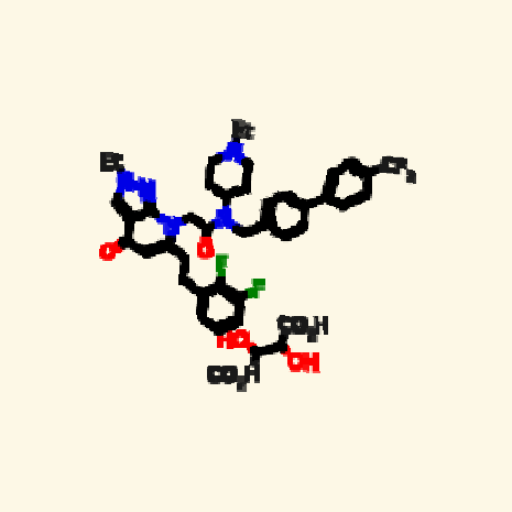 CCN1CCC(N(Cc2ccc(-c3ccc(C(F)(F)F)cc3)cc2)C(=O)Cn2c(CCc3cccc(F)c3F)cc(=O)c3cn(CC)nc32)CC1.O=C(O)C(O)C(O)C(=O)O